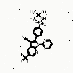 CC(C)(C)NS(=O)(=O)c1ccc(-c2c(C#N)c3cc(C(F)(F)F)cnc3n2-c2ncccn2)cc1